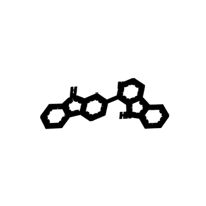 [c]1c(-c2nccc3c2[nH]c2ccccc23)ccc2c1[nH]c1ccccc12